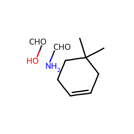 CC1(C)CC=CCC1.NC=O.O=CO